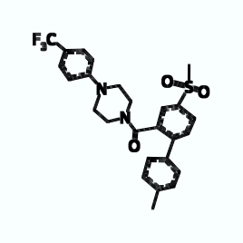 Cc1ccc(-c2ccc(S(C)(=O)=O)cc2C(=O)N2CCN(c3ccc(C(F)(F)F)cc3)CC2)cc1